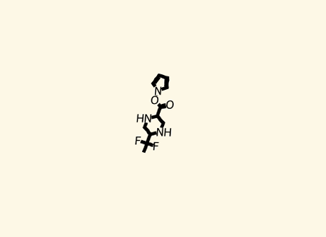 CC(F)(F)C1CNC(C(=O)On2cccc2)CN1